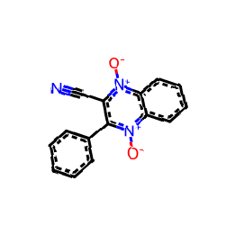 N#Cc1c(-c2ccccc2)[n+]([O-])c2ccccc2[n+]1[O-]